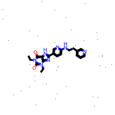 CCn1c(=O)c2[nH]c(-c3ccc(NCCc4cccnc4)nc3)nc2n(CC)c1=O